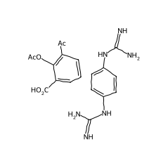 CC(=O)Oc1c(C(C)=O)cccc1C(=O)O.N=C(N)Nc1ccc(NC(=N)N)cc1